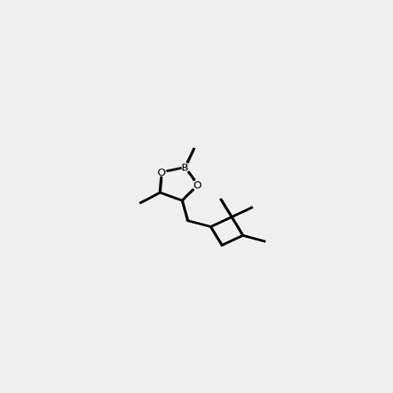 CB1OC(C)C(CC2CC(C)C2(C)C)O1